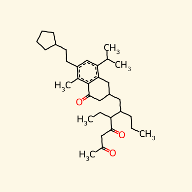 CCCC(CC1CC(=O)c2c(C)c(CCC3CCCC3)cc(C(C)C)c2C1)C(CC)C(=O)CC(C)=O